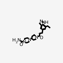 CCc1cc(C[CH]C(=O)N2CCC(N3CCN(C(N)=O)CC3)CC2)cc2cn[nH]c12